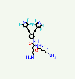 NCCCCC(N)C(=O)NC(CCCCN)C(=O)Nc1ccc(C#Cc2c(F)c(F)nc(F)c2F)c(C#Cc2c(F)c(F)nc(F)c2F)c1